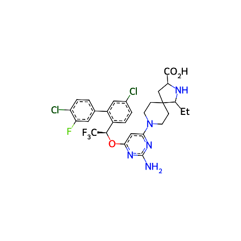 CCC1NC(C(=O)O)CC12CCN(c1cc(O[C@H](c3ccc(Cl)cc3-c3ccc(Cl)c(F)c3)C(F)(F)F)nc(N)n1)CC2